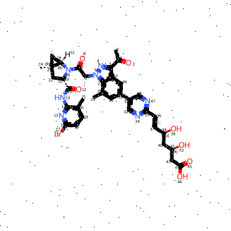 CC(=O)c1nn(CC(=O)N2[C@H](C(=O)Nc3nc(Br)ccc3C)C[C@@]3(C)C[C@@H]23)c2c(C)cc(-c3cnc(/C=C/[C@@H](O)C[C@@H](O)CC(=O)O)nc3)cc12